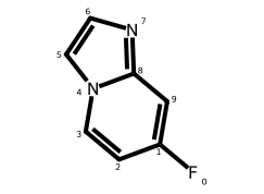 Fc1ccn2ccnc2c1